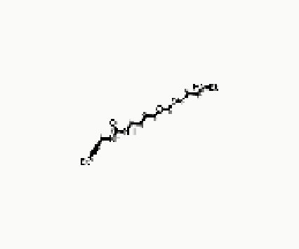 CCC#CCNC(=O)NCCCCOCSSCCNCC